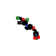 CS(=O)(=O)N1CCC(CCOc2ccc3c(ccn3-c3cc(Cl)c(OCCCl)c(C#N)c3)c2)CC1